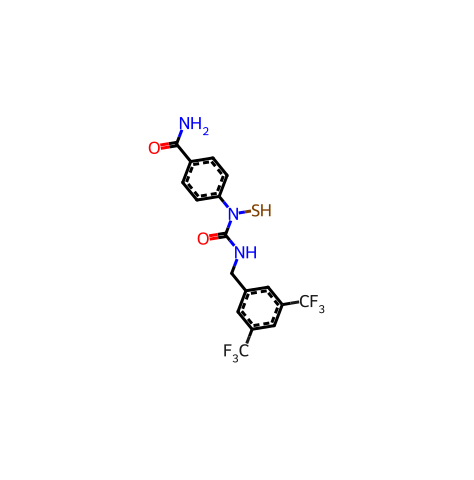 NC(=O)c1ccc(N(S)C(=O)NCc2cc(C(F)(F)F)cc(C(F)(F)F)c2)cc1